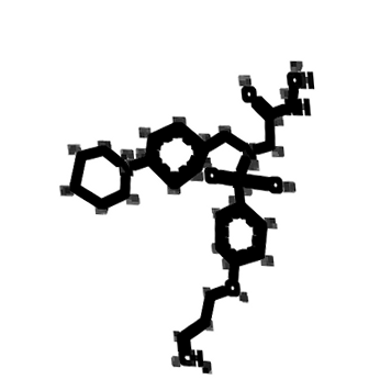 C=CCCOc1ccc(S(=O)(=O)N(CC(=O)NO)Cc2ccc(N3CCCCC3)cc2)cc1